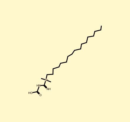 CCCCCCCCCCCCCCCCC[N+](C)(C)C(=N)NC(=O)O